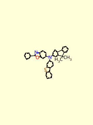 CC1(C)c2ccccc2-c2ccc(N(c3ccc4nc(-c5ccccc5)oc4c3)c3ccc4c(c3)sc3ccccc34)cc21